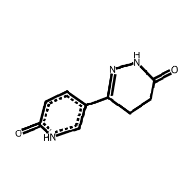 O=C1CCC(c2ccc(=O)[nH]c2)=NN1